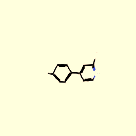 CCOC(=O)c1ccc(-c2ccnc(C)c2)cc1